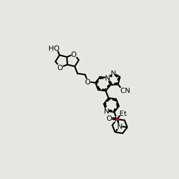 CCC(=O)N1C2CC1CN(c1ccc(-c3cc(OCCC4COC5C(O)COC45)cn4ncc(C#N)c34)cn1)C2